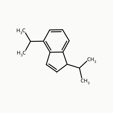 CC(C)c1cccc2c1C=[C]C2C(C)C